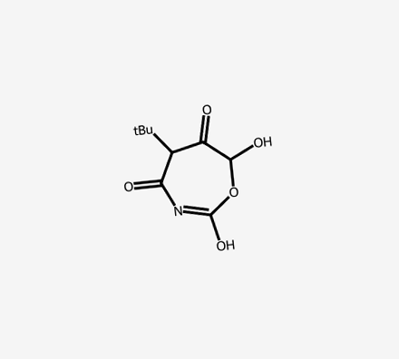 CC(C)(C)C1C(=O)N=C(O)OC(O)C1=O